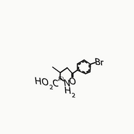 CC(CC(=O)c1ccc(Br)cc1)[C@H](N)C(=O)O